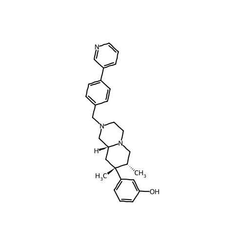 C[C@H]1CN2CCN(Cc3ccc(-c4cccnc4)cc3)C[C@H]2C[C@@]1(C)c1cccc(O)c1